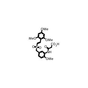 COc1cc(OC)c(C=CS(=O)(=O)Cc2ccc(OC)c(NC(=O)CC(=O)O)c2)c(OC)c1